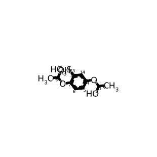 CC(O)Oc1ccc(OC(C)O)c(S(=O)(=O)O)c1